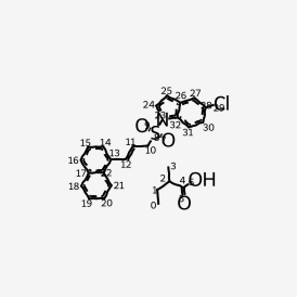 CCC(C)C(=O)O.O=S(=O)(CC=Cc1cccc2ccccc12)n1ccc2cc(Cl)ccc21